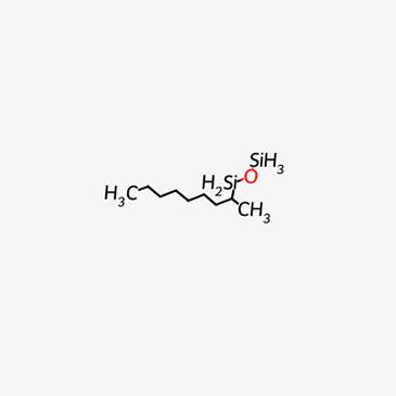 CCCCCCCC(C)[SiH2]O[SiH3]